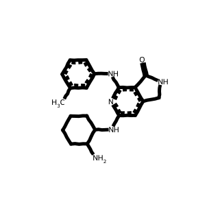 Cc1cccc(Nc2nc(NC3CCCCC3N)cc3c2C(=O)NC3)c1